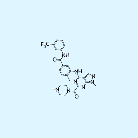 Cc1ccc(C(=O)Nc2cccc(C(F)(F)F)c2)cc1Nc1nc(C(=O)N2CCN(C)CC2)nc2c1cnn2C